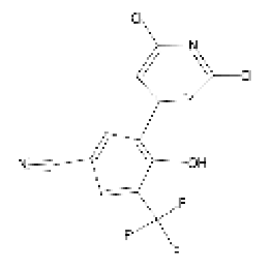 N#Cc1cc(-c2cc(Cl)nc(Cl)c2)c(O)c(C(F)(F)F)c1